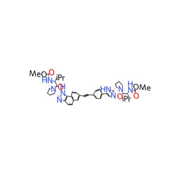 COC(=O)N[C@H](C(=O)N1CCC[C@H]1c1ncc(-c2ccc(C#Cc3ccc4c(ccc5nc([C@@H]6CCCN6C(=O)[C@@H](NC(=O)OC)C(C)C)[nH]c54)c3)cc2)[nH]1)C(C)C